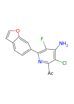 CC(=O)c1nc(-c2ccc3ccoc3c2)c(F)c(N)c1Cl